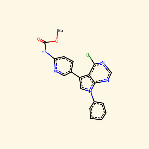 CC(C)(C)OC(=O)Nc1ccc(-c2cn(-c3ccccc3)c3ncnc(Cl)c23)cn1